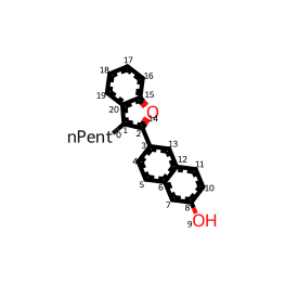 CCCCCc1c(-c2ccc3cc(O)ccc3c2)oc2ccccc12